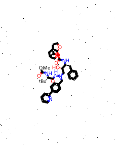 COC(=O)N[C@H](C(=O)NN(Cc1ccc(-c2ccccn2)cc1)C[C@H](O)[C@H](Cc1ccccc1)NC(=O)OC1C2COC3OCC1C3C2)C(C)(C)C